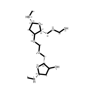 CB[C@H]1CC(O)[C@@H](COCOC2C[C@H](BC)O[C@@H]2COCS)O1